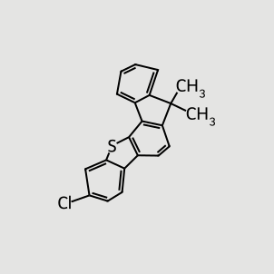 CC1(C)c2ccccc2-c2c1ccc1c2sc2cc(Cl)ccc21